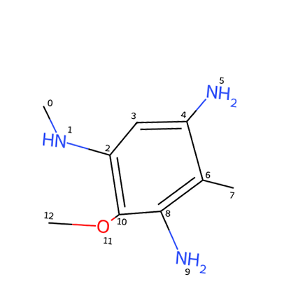 CNc1cc(N)c(C)c(N)c1OC